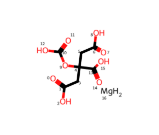 O=C(O)CC(CC(=O)O)(OC(=O)O)C(=O)O.[MgH2]